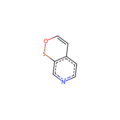 C1=Cc2ccncc2SO1